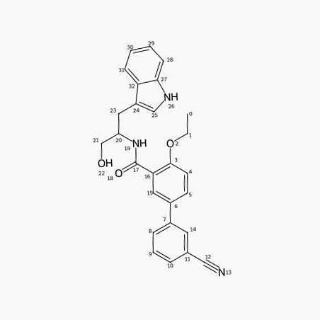 CCOc1ccc(-c2cccc(C#N)c2)cc1C(=O)NC(CO)Cc1c[nH]c2ccccc12